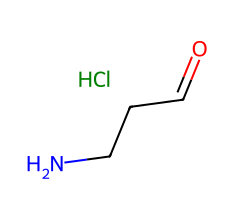 Cl.NCCC=O